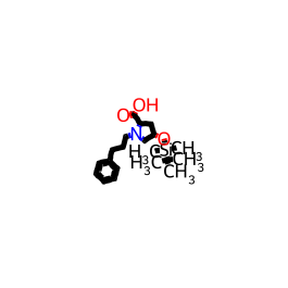 CC(C)(C)[Si](C)(C)OC1CC(C(=O)O)N(CCCc2ccccc2)C1